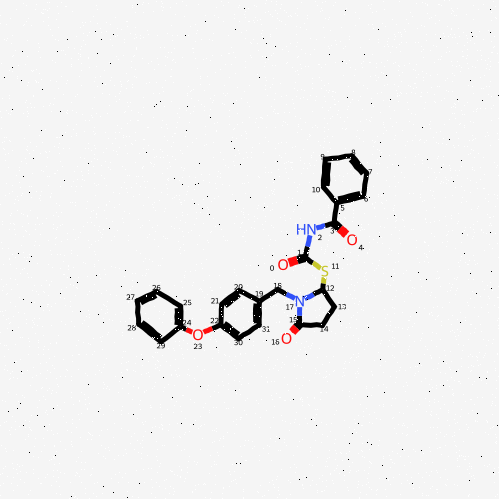 O=C(NC(=O)c1ccccc1)SC1CCC(=O)N1Cc1ccc(Oc2ccccc2)cc1